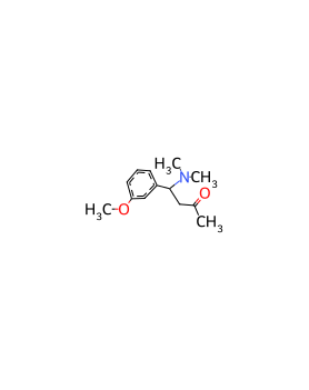 COc1cccc(C(CC(C)=O)N(C)C)c1